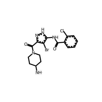 [NH]C1CCN(C(=O)c2n[nH]c(NC(=O)c3ccccc3Cl)c2Br)CC1